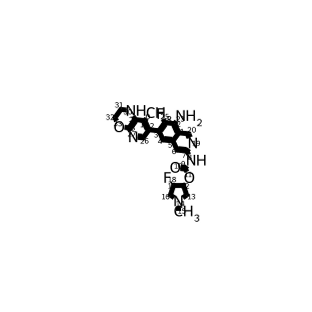 Cc1c(-c2cc3cc(NC(=O)O[C@H]4CN(C)C[C@@H]4F)ncc3c(N)c2F)cnc2c1NCCO2